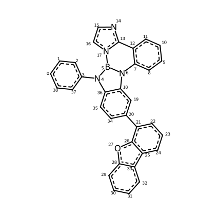 c1ccc(N2B3N(c4ccccc4-c4nccn43)c3cc(-c4cccc5c4oc4ccccc45)ccc32)cc1